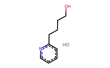 Cl.OCCCCc1ccccn1